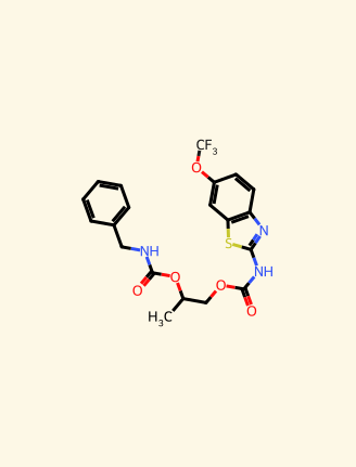 CC(COC(=O)Nc1nc2ccc(OC(F)(F)F)cc2s1)OC(=O)NCc1ccccc1